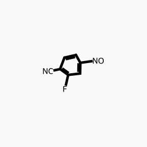 N#Cc1ccc(N=O)cc1F